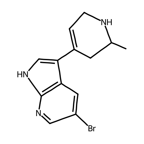 CC1CC(c2c[nH]c3ncc(Br)cc23)=CCN1